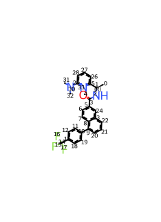 C[C@@H](NC(=O)c1ccc2c(-c3ccc(C(F)(F)F)cc3)cccc2c1)c1cccc(N(C)C)n1